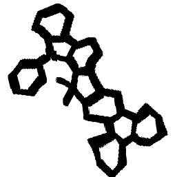 CC1(C)c2cc3c4ccccc4c4ccccc4c3cc2-c2ccc3c4ccccc4n(-c4ccccc4)c3c21